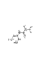 CC(C)[C@H](C)C(=O)OC(CO)CO